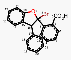 O=C(O)c1ccccc1C1(Br)Oc2ccccc2C1c1ccccc1